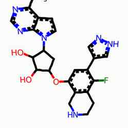 Cc1ncnc2c1ccn2C1CC(Oc2cc(-c3cn[nH]c3)c(F)c3c2CNCC3)C(O)C1O